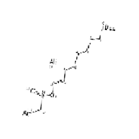 CCCCCCCCCCCCCCCCC=COC(=O)CC(C)=O.[Al]